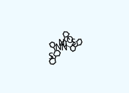 c1ccc2c(c1)oc1c(-c3cccc4c3sc3ccccc34)nc(-n3c4ccccc4c4c5sc6ccccc6c5ccc43)nc12